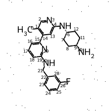 Cc1cnc(N[C@H]2CC[C@H](N)CC2)cc1-c1cccc(NCc2cccc(F)c2)n1